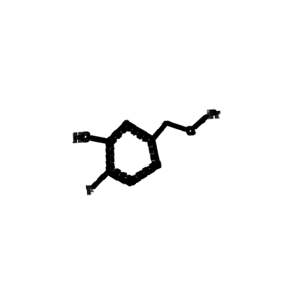 CC(C)OCc1ccc(F)c(O)c1